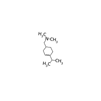 CC(C)C1=CCC(CN(C)C)CC1